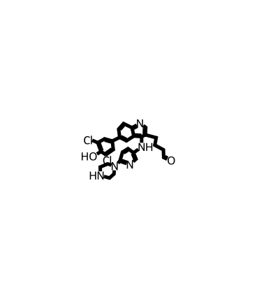 O=CCCCc1cnc2ccc(-c3cc(Cl)c(O)c(Cl)c3)cc2c1Nc1ccc(N2CCNCC2)nc1